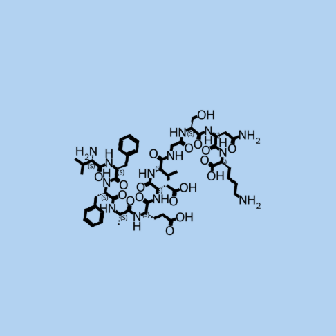 CC(C)[C@H](N)C(=O)N[C@@H](Cc1ccccc1)C(=O)N[C@@H](Cc1ccccc1)C(=O)N[C@@H](C)C(=O)N[C@@H](CCC(=O)O)C(=O)N[C@@H](CC(=O)O)C(=O)N[C@H](C(=O)NCC(=O)N[C@@H](CO)C(=O)N[C@@H](CC(N)=O)C(=O)N[C@@H](CCCCN)C(=O)O)C(C)C